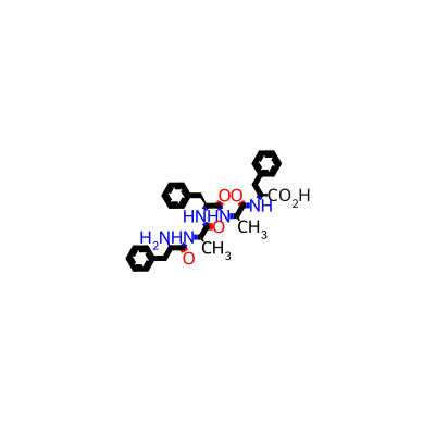 C[C@H](NC(=O)[C@H](Cc1ccccc1)NC(=O)[C@H](C)NC(=O)[C@@H](N)Cc1ccccc1)C(=O)N[C@@H](Cc1ccccc1)C(=O)O